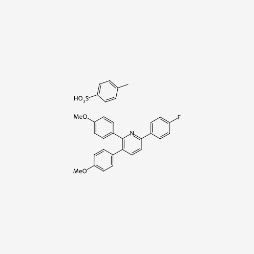 COc1ccc(-c2ccc(-c3ccc(F)cc3)nc2-c2ccc(OC)cc2)cc1.Cc1ccc(S(=O)(=O)O)cc1